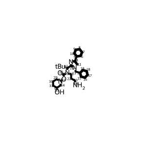 CC(C)(C)[C@H](c1nc(-c2ccccc2)cn1Cc1ccccc1)N(CCCN)C(=O)ON1CCC[C@H](O)C1